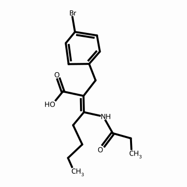 CCCCC(NC(=O)CC)=C(Cc1ccc(Br)cc1)C(=O)O